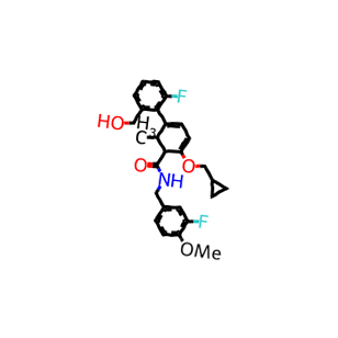 COc1ccc(CNC(=O)C2C(OCC3CC3)=CC=C(c3c(F)cccc3CO)C2C)cc1F